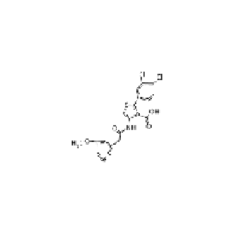 COc1cccc(CC(=O)Nc2csc(-c3ccc(Cl)c(Cl)c3)c2C(=O)O)c1